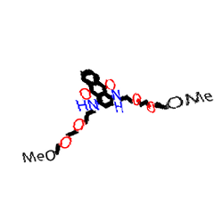 COCCOCCOCCCNc1ccc(NCCCOCCOCCOC)c2c1C(=O)c1ccccc1C2=O